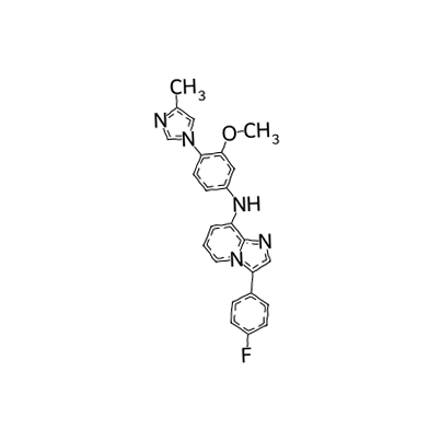 COc1cc(Nc2cccn3c(-c4ccc(F)cc4)cnc23)ccc1-n1cnc(C)c1